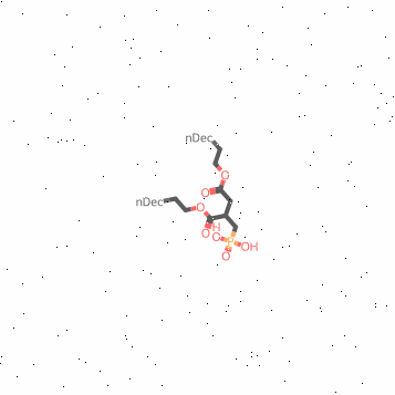 CCCCCCCCCCCCOC(=O)CC(CP(=O)(O)O)C(=O)OCCCCCCCCCCCC